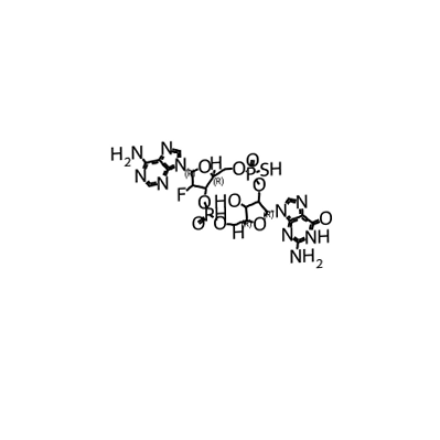 Nc1nc2c(ncn2[C@@H]2O[C@@H]3CO[PH](=O)OC4C(F)[C@H](n5cnc6c(N)ncnc65)O[C@@H]4COP(=O)(S)OC2C3O)c(=O)[nH]1